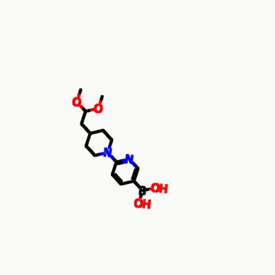 COC(CC1CCN(c2ccc(B(O)O)cn2)CC1)OC